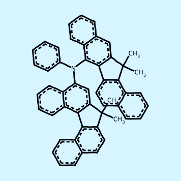 CC1(C)c2ccc3ccccc3c2-c2c1cc(N(c1ccccc1)c1c3c(cc4ccccc14)C(C)(C)c1c-3ccc3ccccc13)c1ccccc21